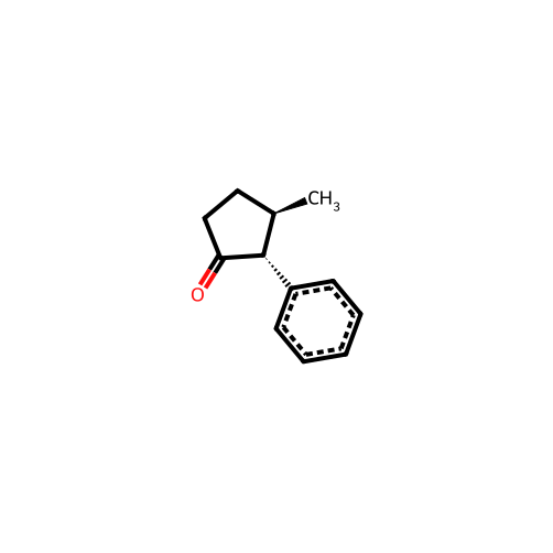 C[C@@H]1CCC(=O)[C@H]1c1ccccc1